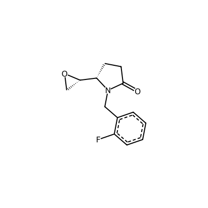 O=C1CC[C@@H]([C@@H]2CO2)N1Cc1ccccc1F